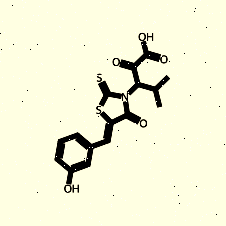 CC(C)C(C(=O)C(=O)O)N1C(=O)/C(=C/c2cccc(O)c2)SC1=S